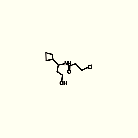 O=C(CCCl)NC(CCO)C1CCC1